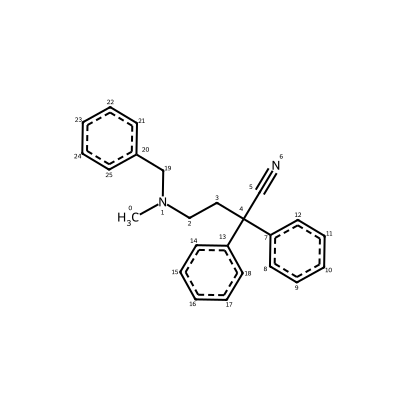 CN(CCC(C#N)(c1ccccc1)c1ccccc1)Cc1ccccc1